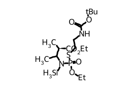 CCOC(=O)[C@H](C)C(C)N([SiH3])P(=O)(OCC)SCCNC(=O)OC(C)(C)C